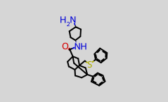 N[C@H]1CC[C@H](NC(=O)C23CCC4CCC(c5ccccc5)(C2)CC4(CSc2ccccc2)C3)CC1